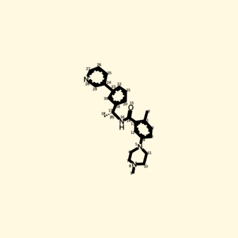 Cc1ccc(N2CCN(C)CC2)cc1C(=O)N[C@H](C)c1cccc(-c2cccnc2)c1